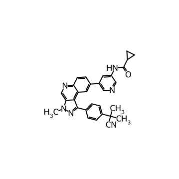 Cn1nc(-c2ccc(C(C)(C)C#N)cc2)c2c3cc(-c4cncc(NC(=O)C5CC5)c4)ccc3ncc21